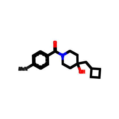 CNc1ccc(C(=O)N2CCC(O)(CC3CCC3)CC2)cc1